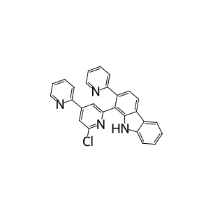 Clc1cc(-c2ccccn2)cc(-c2c(-c3ccccn3)ccc3c2[nH]c2ccccc23)n1